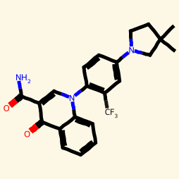 CC1(C)CCN(c2ccc(-n3cc(C(N)=O)c(=O)c4ccccc43)c(C(F)(F)F)c2)C1